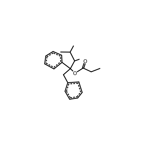 CCC(=O)OC(Cc1ccccc1)(c1ccccc1)C(C)C(C)C